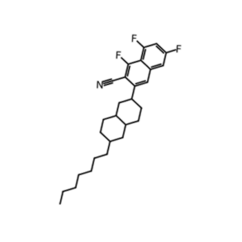 CCCCCCCC1CCC2CC(c3cc4cc(F)cc(F)c4c(F)c3C#N)CCC2C1